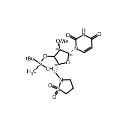 CO[C@@H]1C(O[Si](C)(C)C(C)(C)C)[C@@H](CN2CCCS2(=O)=O)O[C@H]1n1ccc(=O)[nH]c1=O